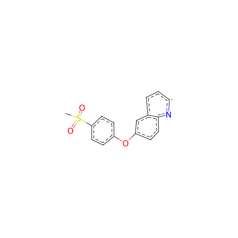 CS(=O)(=O)c1ccc(Oc2ccc3n[c]ccc3c2)cc1